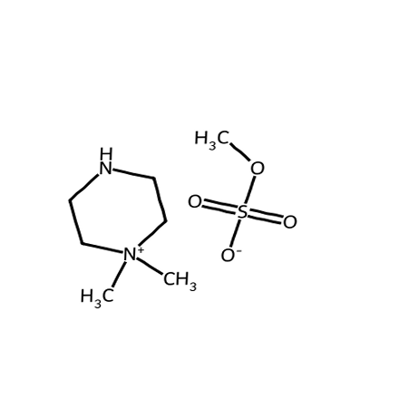 COS(=O)(=O)[O-].C[N+]1(C)CCNCC1